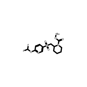 CC(C)(C)OC(=O)N1CCCCC1CS(=O)(=O)c1ccc(OC(F)F)nc1